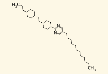 CCCCCCCCCCCCc1cnc(C2CCC(CC[C@H]3CC[C@H](CCC)CC3)CC2)nc1